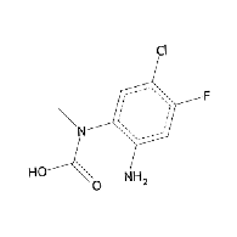 CN(C(=O)O)c1cc(Cl)c(F)cc1N